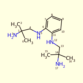 CC(C)(N)CNc1ccccc1NCC(C)(C)N